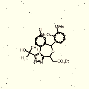 CCOC(=O)CC1OC(c2cccc(OC)c2OC)c2cc(Cl)ccc2-n2c1nnc2C(C)(C)O